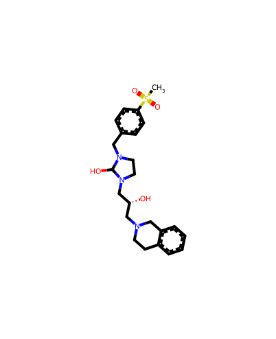 CS(=O)(=O)c1ccc(CN2CCN(C[C@H](O)CN3CCc4ccccc4C3)C2O)cc1